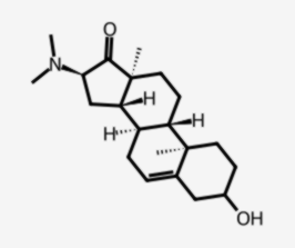 CN(C)[C@@H]1C[C@H]2[C@@H]3CC=C4CC(O)CC[C@]4(C)[C@H]3CC[C@]2(C)C1=O